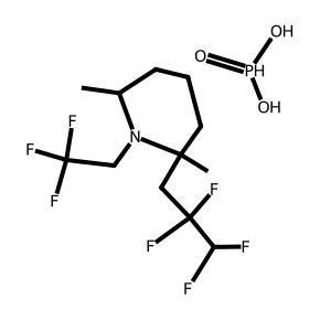 CC1CCCC(C)(CC(F)(F)C(F)F)N1CC(F)(F)F.O=[PH](O)O